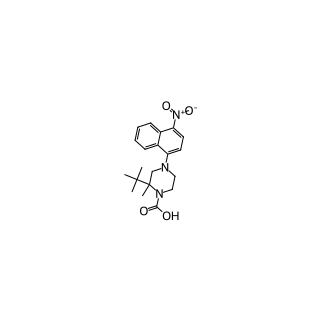 CC(C)(C)C1(C)CN(c2ccc([N+](=O)[O-])c3ccccc23)CCN1C(=O)O